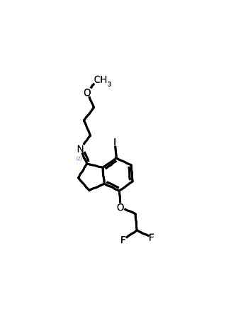 COCCC/N=C1/CCc2c(OCC(F)F)ccc(I)c21